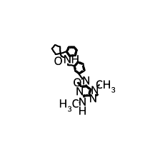 CNc1nc2oc(-c3cccc(CNC(=O)C4(c5ccccc5)CCCC4)c3)nc2c2c1ncn2C